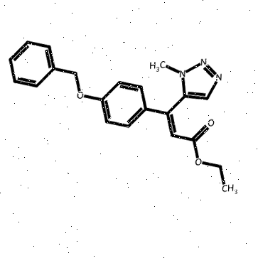 CCOC(=O)C=C(c1ccc(OCc2ccccc2)cc1)c1cnnn1C